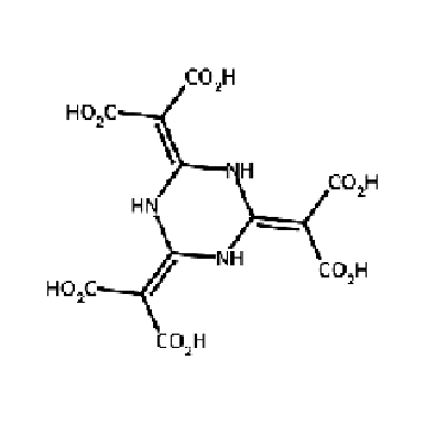 O=C(O)C(C(=O)O)=C1NC(=C(C(=O)O)C(=O)O)NC(=C(C(=O)O)C(=O)O)N1